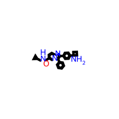 NC1(c2ccc(-c3nc4ccc(C(=O)NCC5CC5)cn4c3-c3ccccc3)cc2)CCC1